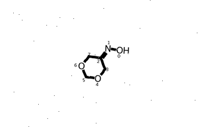 ON=C1COCOC1